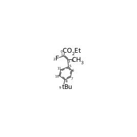 CCOC(=O)C(F)=C(C)c1ccc(C(C)(C)C)cc1